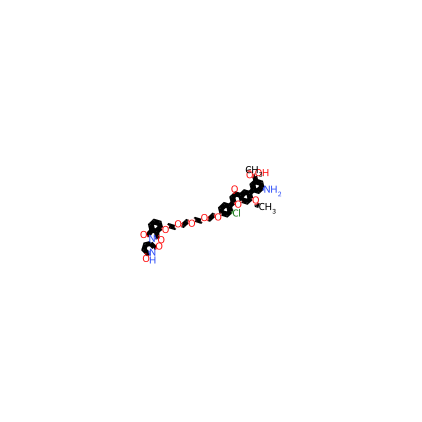 CCOc1cc2oc(-c3ccc(OCCOCCOCCOCCOc4cccc5c4C(=O)N(C4CCC(=O)NC4=O)C5=O)cc3Cl)cc(=O)c2cc1-c1cc(N)cc(C(O)OC)c1